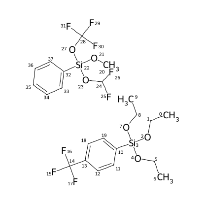 CCO[Si](OCC)(OCC)c1ccc(C(F)(F)F)cc1.CO[Si](OC(F)F)(OC(F)(F)F)c1ccccc1